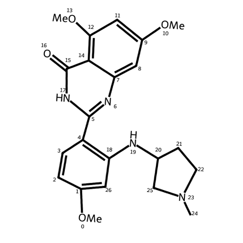 COc1ccc(-c2nc3cc(OC)cc(OC)c3c(=O)[nH]2)c(NC2CCN(C)C2)c1